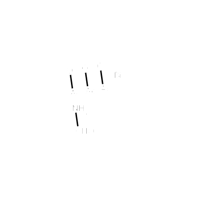 CC(=O)[O-].CC(=O)[O-].CC(=O)[O-].NC=O.[Bi+3]